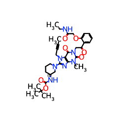 CC#CCn1c(N2CCC[C@H](NC(=O)OC(C)(C)C)C2)nc2c1c(=O)n(CC(=O)c1ccccc1OCC(=O)NCC)c(=O)n2C